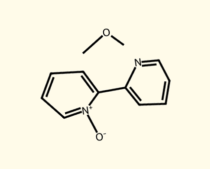 COC.[O-][n+]1ccccc1-c1ccccn1